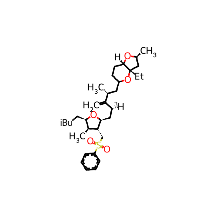 [3H][C@H](C[C@@H]1O[C@H](CC(C)CC)[C@H](C)[C@H]1CS(=O)(=O)c1ccccc1)C(=C)[C@H](C)CC1CC[C@@H]2O[C@@H](C)C[C@]2(CC)O1